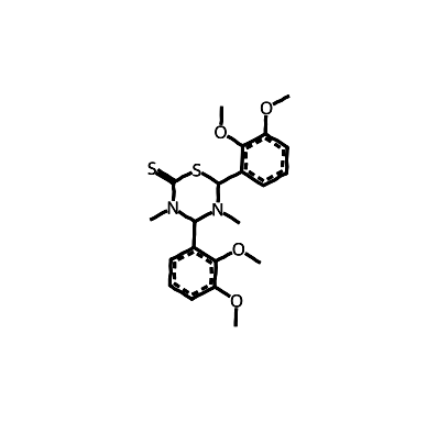 COc1cccc(C2SC(=S)N(C)C(c3cccc(OC)c3OC)N2C)c1OC